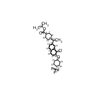 CC(C)OC(=O)C1CCN(C(C)c2ccc3ccc(O[C@H]4CC[C@@H](C(F)(F)F)CC4)c(Cl)c3c2)CC1